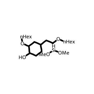 CCCCCCOC1CC(CC(OCCCCCC)[SiH](OC)OC)CCC1O